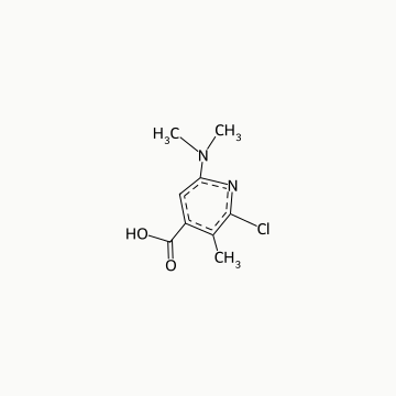 Cc1c(C(=O)O)cc(N(C)C)nc1Cl